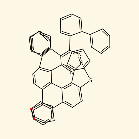 c1ccc(-c2ccccc2-c2nnnc(-c3c(-c4ccccc4)ccc(-c4ccccc4)c3-c3c(-c4ccccc4)ccc4sc5ccccc5c34)c2-c2ccccc2)cc1